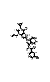 C=CCn1c(=O)n(C2CC2)c(=O)c2[nH]c(-n3nc(N(C)C(=O)c4cncc(Br)c4)c4cnncc43)nc21